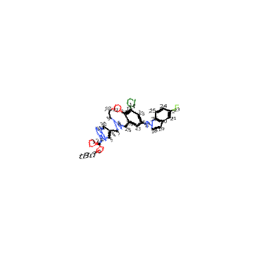 CC(C)(C)OC(=O)n1cc(CN2CCOc3c(Cl)cc(-n4ccc5cc(F)ccc54)cc3C2)cn1